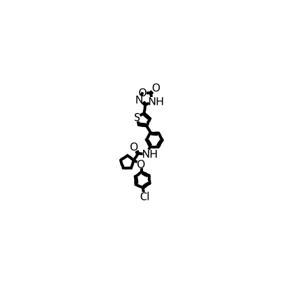 O=C(Nc1cccc(-c2csc(-c3noc(=O)[nH]3)c2)c1)C1(Oc2ccc(Cl)cc2)CCCC1